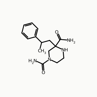 CC(CC1(C(N)=O)CN(C(N)=O)CCN1)c1ccccc1